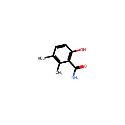 CCCCc1ccc(O)c(C(N)=O)c1C